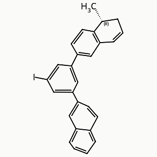 C[C@@H]1CC=Cc2cc(-c3cc(I)cc(-c4ccc5ccccc5c4)c3)ccc21